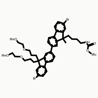 COCCOCCCC1(CCCOCCOC)c2cc(Br)ccc2-c2ccc(-c3ccc4c(c3)C(C)(CCCCNC(=O)OC(C)(C)C)c3cc(Br)ccc3-4)cc21